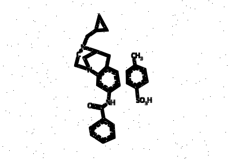 Cc1ccc(S(=O)(=O)O)cc1.O=C(Nc1ccc2c(c1)N1CCN(CC3CC3)C(C2)C1)c1ccccc1